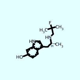 C[C@H](Cc1c[nH]c2cc(O)ccc12)NCC(C)(C)F